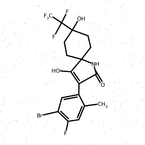 Cc1cc(F)c(Br)cc1C1=C(O)C2(CCC(O)(C(F)(F)C(F)(F)F)CC2)NC1=O